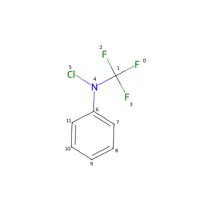 FC(F)(F)N(Cl)c1ccccc1